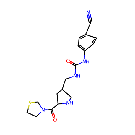 N#Cc1ccc(NC(=O)NCC2CNC(C(=O)N3CCSC3)C2)cc1